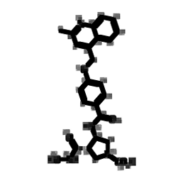 Cc1cc(COc2ccc(C(=O)N[C@H]3CN(C(=O)O)C[C@@H]3C(=O)NO)cc2)c2ccccc2n1